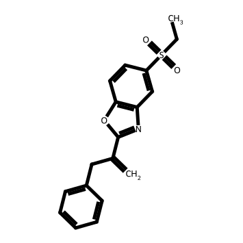 C=C(Cc1ccccc1)c1nc2cc(S(=O)(=O)CC)ccc2o1